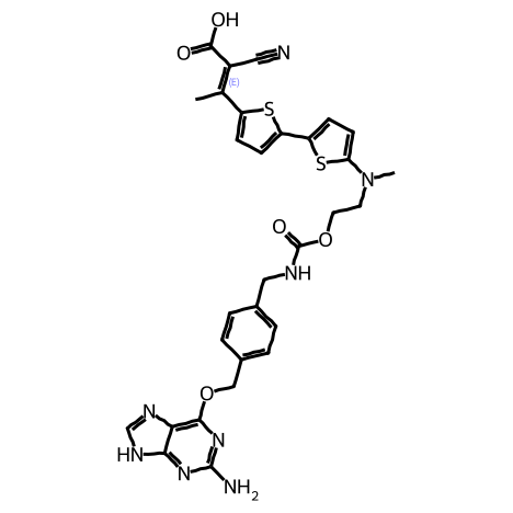 C/C(=C(/C#N)C(=O)O)c1ccc(-c2ccc(N(C)CCOC(=O)NCc3ccc(COc4nc(N)nc5[nH]cnc45)cc3)s2)s1